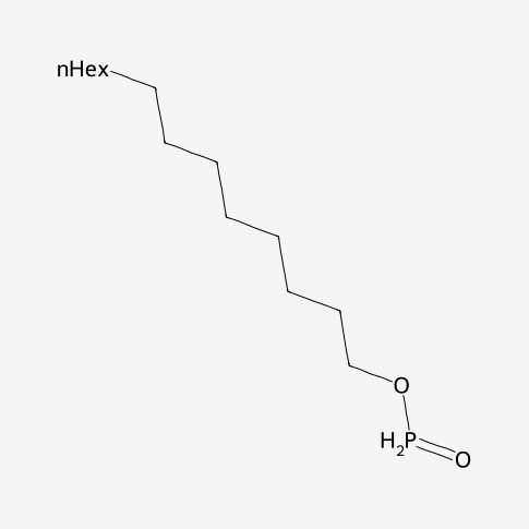 CCCCCCCCCCCCCCO[PH2]=O